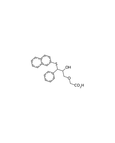 O=C(O)COCC(O)C(Sc1ccc2ccccc2c1)c1ccccc1